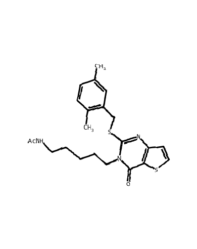 CC(=O)NCCCCCn1c(SCc2cc(C)ccc2C)nc2ccsc2c1=O